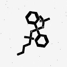 CCCC[Si](C)(C)O[Si](O[SiH](C)C)(c1ccccc1)c1ccccc1